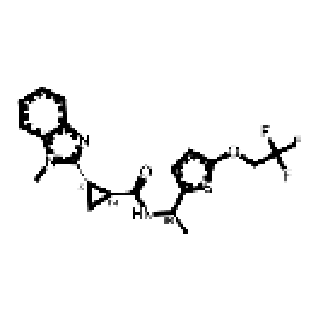 C[C@@H](NC(=O)[C@H]1C[C@@H]1c1nc2ccccc2n1C)c1ccc(OCC(F)(F)F)s1